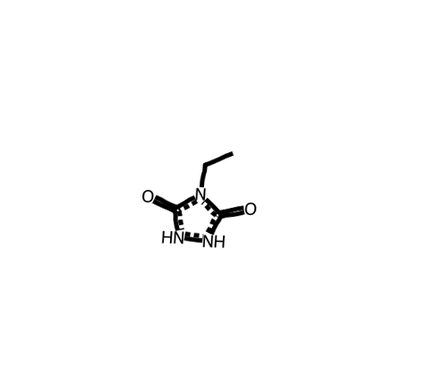 CCn1c(=O)[nH][nH]c1=O